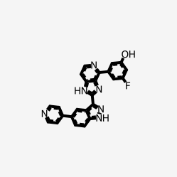 Oc1cc(F)cc(-c2nccc3[nH]c(-c4n[nH]c5ccc(-c6ccncc6)cc45)nc23)c1